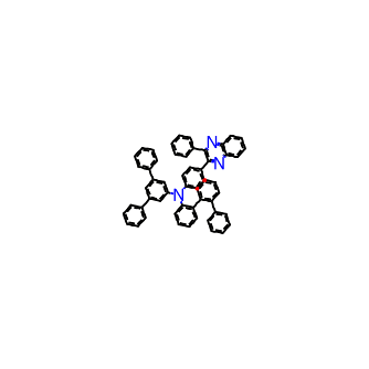 c1ccc(-c2cc(-c3ccccc3)cc(N(c3ccc(-c4nc5ccccc5nc4-c4ccccc4)cc3)c3ccccc3-c3ccccc3-c3ccccc3)c2)cc1